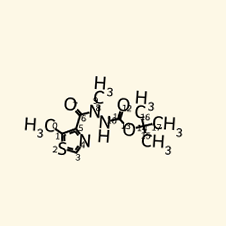 Cc1scnc1C(=O)N(C)NC(=O)OC(C)(C)C